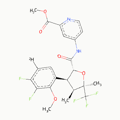 [2H]c1cc([C@H]2[C@H](C(=O)Nc3ccnc(C(=O)OC)c3)O[C@@](C)(C(F)(F)F)[C@H]2C)c(OC)c(F)c1F